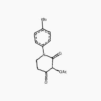 CC(=O)OC1C(=O)CCN(c2ccc(C(C)(C)C)cc2)C1=O